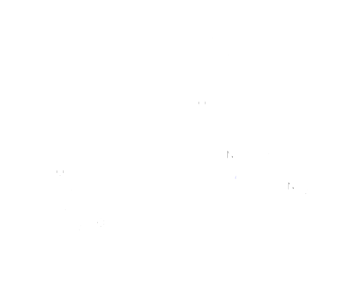 C/C=c1\c(=C/N)c2ccc3c4ccccc4oc3c2n1-c1ccc(-c2ccc3c(=O)c4ccccc4oc3c2)cc1